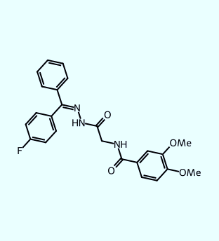 COc1ccc(C(=O)NCC(=O)N/N=C(/c2ccccc2)c2ccc(F)cc2)cc1OC